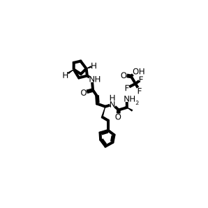 C[C@H](N)C(=O)N[C@H](C=CC(=O)NC1C[C@@H]2CC[C@H]1C2)CCc1ccccc1.O=C(O)C(F)(F)F